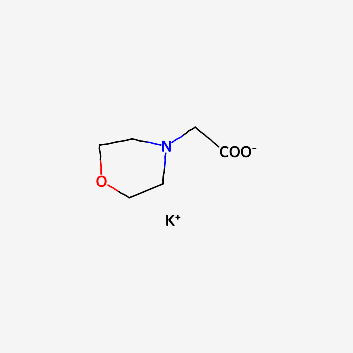 O=C([O-])CN1CCOCC1.[K+]